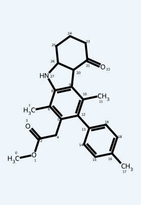 COC(=O)Cc1c(C)c2c(c(C)c1-c1ccc(C)cc1)C1C(=O)CCCC1N2